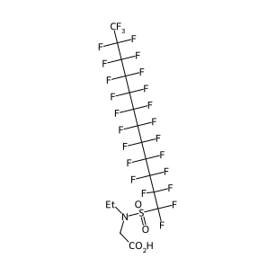 CCN(CC(=O)O)S(=O)(=O)C(F)(F)C(F)(F)C(F)(F)C(F)(F)C(F)(F)C(F)(F)C(F)(F)C(F)(F)C(F)(F)C(F)(F)C(F)(F)C(F)(F)F